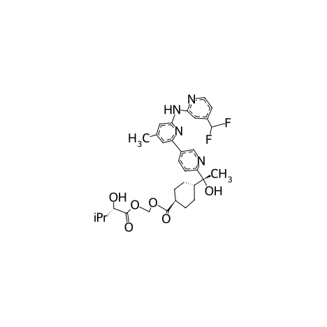 Cc1cc(Nc2cc(C(F)F)ccn2)nc(-c2ccc([C@](C)(O)[C@H]3CC[C@H](C(=O)OCOC(=O)[C@@H](O)C(C)C)CC3)nc2)c1